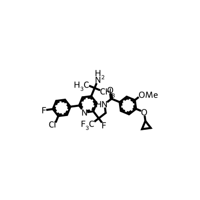 COc1cc(C(=O)NCC(F)(c2cc(C(C)(C)N)cc(-c3ccc(F)c(Cl)c3)n2)C(F)(F)F)ccc1OC1CC1